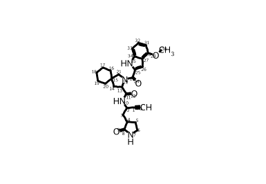 C#CC(CC1CCNC1=O)NC(=O)C1CC2(CCCCC2)CN1C(=O)c1cc2c(OC)cccc2[nH]1